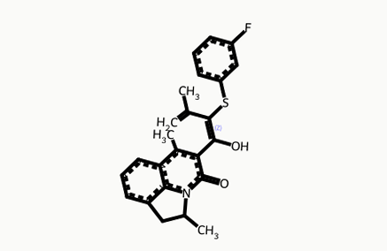 C=C(C)/C(Sc1cccc(F)c1)=C(/O)c1c(C)c2cccc3c2n(c1=O)C(C)C3